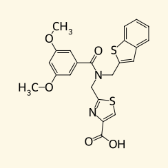 COc1cc(OC)cc(C(=O)N(Cc2cc3ccccc3s2)Cc2nc(C(=O)O)cs2)c1